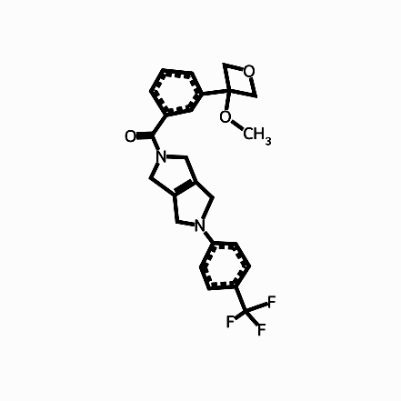 COC1(c2cccc(C(=O)N3CC4=C(C3)CN(c3ccc(C(F)(F)F)cc3)C4)c2)COC1